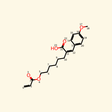 C=CC(=O)OCCCCCCC(=Cc1ccc(OC)cc1)C(=O)O